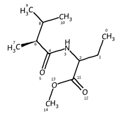 CCC(NC(=O)[C@@H](C)C(C)C)C(=O)OC